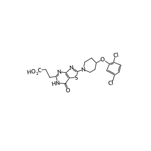 O=C(O)CCc1nc2nc(N3CCC(Oc4cc(Cl)ccc4Cl)CC3)sc2c(=O)[nH]1